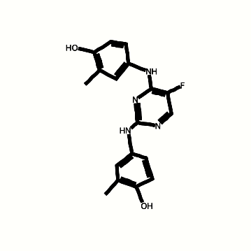 Cc1cc(Nc2ncc(F)c(Nc3ccc(O)c(C)c3)n2)ccc1O